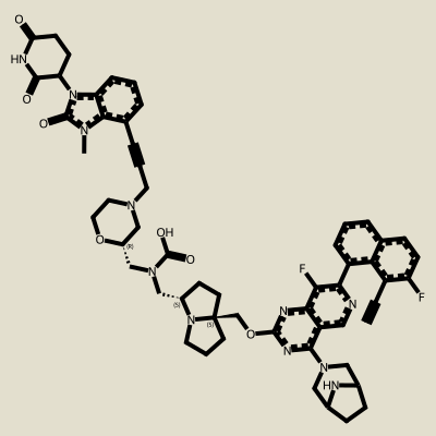 C#Cc1c(F)ccc2cccc(-c3ncc4c(N5CC6CCC(C5)N6)nc(OC[C@@]56CCCN5[C@H](CN(C[C@H]5CN(CC#Cc7cccc8c7n(C)c(=O)n8C7CCC(=O)NC7=O)CCO5)C(=O)O)CC6)nc4c3F)c12